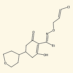 CCC(=NOC/C=C/Cl)C1=C(O)CC(C2CCOCC2)CC1=O